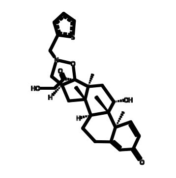 C[C@]12[C@@H](CCC3=CC(=O)C=C[C@@]31C)[C@]1(C)C[C@H]3CN(Cc4cccs4)O[C@@]3(C(=O)CO)[C@@]1(C)C[C@@H]2O